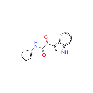 O=C(NC1=CC=CC1)C(=O)c1c[nH]c2ccccc12